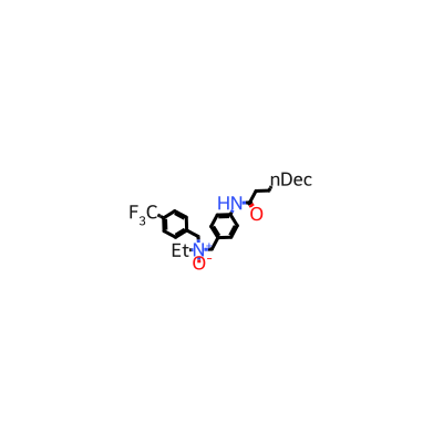 CCCCCCCCCCCCC(=O)Nc1ccc(C[N+]([O-])(CC)Cc2ccc(C(F)(F)F)cc2)cc1